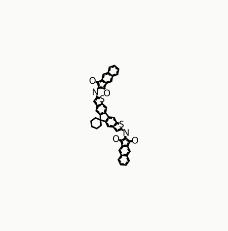 O=c1c(=Nc2cc3cc4c(cc3s2)-c2cc3sc(N=c5c(=O)c6cc7ccccc7cc6c5=O)cc3cc2C42CCCCC2)c(=O)c2cc3ccccc3cc12